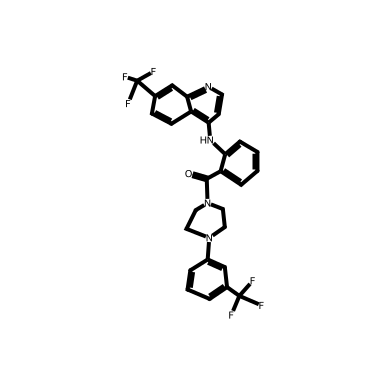 O=C(c1ccccc1Nc1ccnc2cc(C(F)(F)F)ccc12)N1CCN(c2cccc(C(F)(F)F)c2)CC1